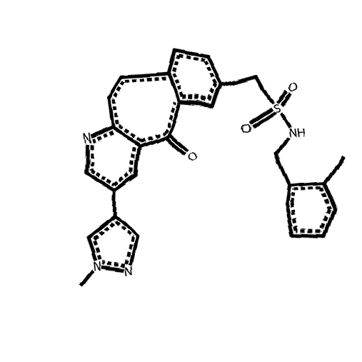 Cc1ccccc1CNS(=O)(=O)Cc1ccc2ccc3ncc(-c4cnn(C)c4)cc3c(=O)c2c1